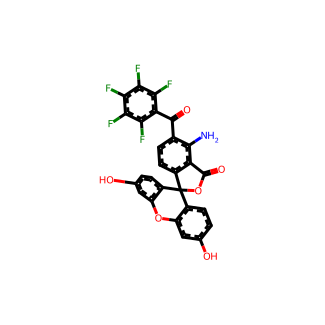 Nc1c(C(=O)c2c(F)c(F)c(F)c(F)c2F)ccc2c1C(=O)OC21c2ccc(O)cc2Oc2cc(O)ccc21